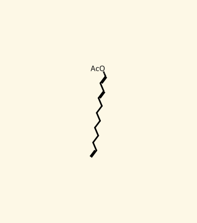 C=CCCCCCCC=CC=COC(C)=O